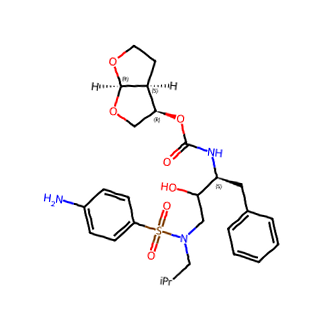 CC(C)CN(CC(O)[C@H](Cc1ccccc1)NC(=O)O[C@H]1CO[C@H]2OCC[C@H]21)S(=O)(=O)c1ccc(N)cc1